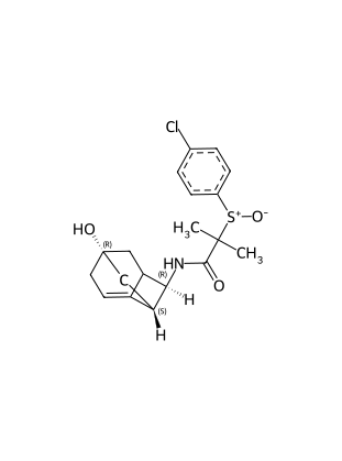 CC(C)(C(=O)N[C@@H]1C2C[C@]3(O)CC=C2[C@@H]1C3)[S+]([O-])c1ccc(Cl)cc1